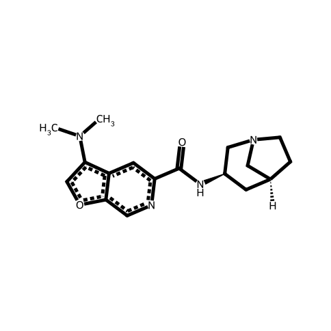 CN(C)c1coc2cnc(C(=O)N[C@@H]3C[C@@H]4CCN(C4)C3)cc12